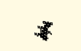 Cc1nn(Cc2ccc(Cl)cc2Cl)c(C)c1NC(=O)c1cc(P)nc2ccccc12